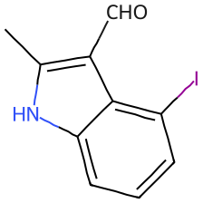 Cc1[nH]c2cccc(I)c2c1C=O